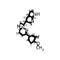 COc1ccc(C2=NN3C(=NCC3c3cnc4[nH]ccc4c3)C=C2)cc1F